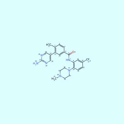 Cc1ccc(C(=O)Nc2cc(C(F)(F)F)ccc2N2CCN(C)CC2)cc1-c1cnc(N)nc1